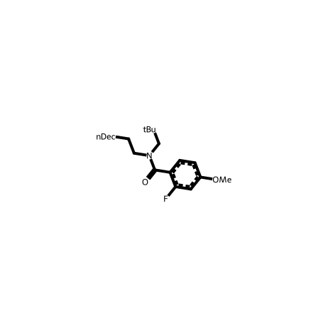 CCCCCCCCCCCCN(CC(C)(C)C)C(=O)c1ccc(OC)cc1F